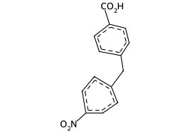 O=C(O)c1ccc(Cc2ccc([N+](=O)[O-])cc2)cc1